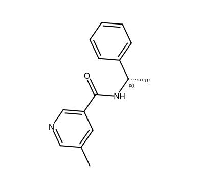 Cc1cncc(C(=O)N[C@@H](C)c2ccccc2)c1